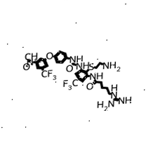 C=[N+]([O-])c1cc(Oc2ccc(NC(=O)Nc3cc(C(F)(F)F)cc(NC(=O)CCCCNC(=N)N)c3SCCN)cc2)cc(C(F)(F)F)c1